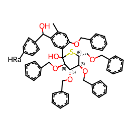 Cc1cc(OCc2ccccc2)c(C2(O)S[C@H](COCc3ccccc3)[C@@H](OCc3ccccc3)[C@H](OCc3ccccc3)[C@H]2OCc2ccccc2)cc1C(O)c1cc[c]([RaH])cc1